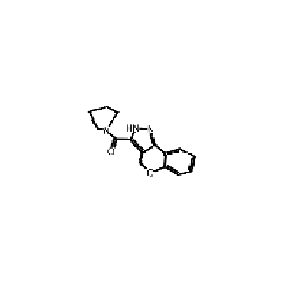 O=C(c1[nH]nc2c1COc1ccccc1-2)N1CCCC1